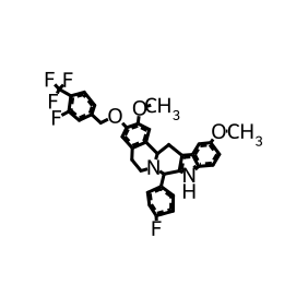 COc1ccc2[nH]c3c(c2c1)CC1c2cc(OC)c(OCc4ccc(C(F)(F)F)c(F)c4)cc2CCN1C3c1ccc(F)cc1